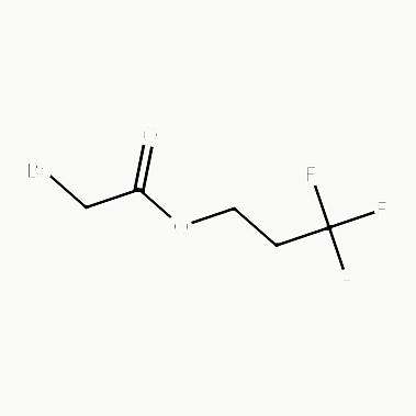 O=C(CBr)OCCC(F)(F)F